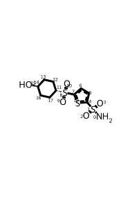 NS(=O)(=O)c1ccc(S(=O)(=O)[C@H]2CC[C@H](O)CC2)s1